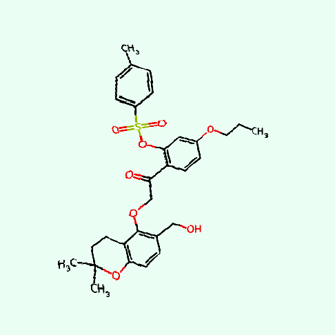 CCCOc1ccc(C(=O)COc2c(CO)ccc3c2CCC(C)(C)O3)c(OS(=O)(=O)c2ccc(C)cc2)c1